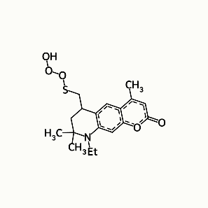 CCN1c2cc3oc(=O)cc(C)c3cc2C(CSOOO)CC1(C)C